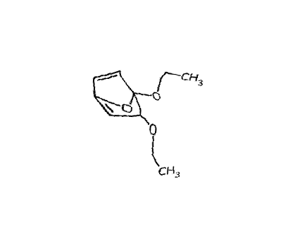 CCOC1C=C2C=CC1(OCC)O2